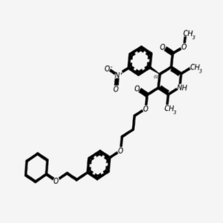 COC(=O)C1=C(C)NC(C)=C(C(=O)OCCCOc2ccc(CCOC3CCCCC3)cc2)[C@H]1c1cccc([N+](=O)[O-])c1